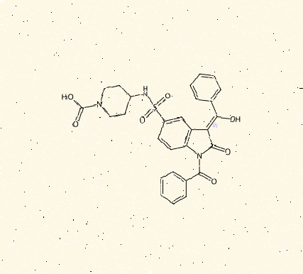 O=C(O)N1CCC(NS(=O)(=O)c2ccc3c(c2)/C(=C(/O)c2ccccc2)C(=O)N3C(=O)c2ccccc2)CC1